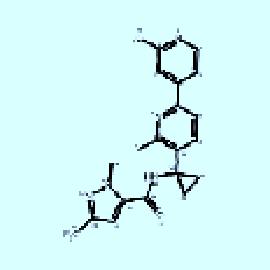 Cc1nc(-c2ccnc(C(F)(F)F)c2)ccc1C1(NC(=O)c2cc(C(F)(F)F)nn2C)CC1